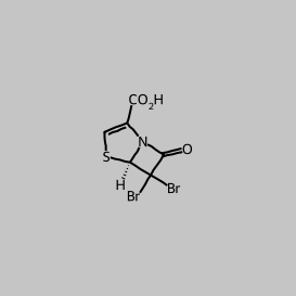 O=C(O)C1=CS[C@H]2N1C(=O)C2(Br)Br